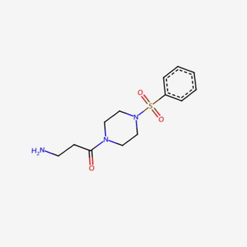 NCCC(=O)N1CCN(S(=O)(=O)c2ccccc2)CC1